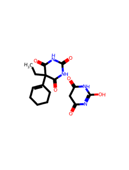 CCC1(C2=CCCCC2)C(=O)NC(=O)NC1=O.O=C1CC(=O)NC(O)=N1